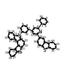 c1ccc(-c2cc(-c3cccc(-n4c5ccccc5c5c6c(ccc54)sc4ccccc46)c3)cc(-c3ccc4sc5ccccc5c4c3)n2)cc1